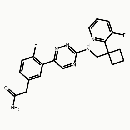 NC(=O)Cc1ccc(F)c(-c2cnc(NCC3(c4ncccc4F)CCC3)nn2)c1